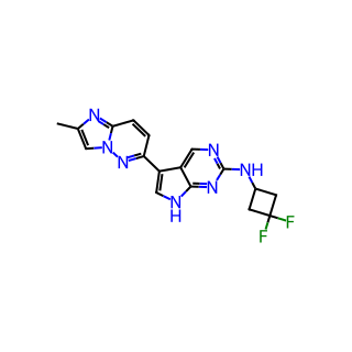 Cc1cn2nc(-c3c[nH]c4nc(NC5CC(F)(F)C5)ncc34)ccc2n1